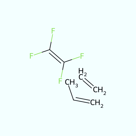 C=C.C=CC.FC(F)=C(F)F